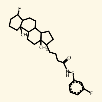 CC12CCC3C(CCC4C(F)CCCC43C)C1CCC2CCCC(=O)NSc1cccc(F)c1